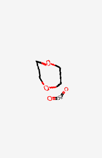 C1COCCO1.O=[Se]=O